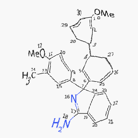 COC1=CC(C2C=C(C3(c4ccc(OC)c(C)c4)N=C(N)c4ccccc43)C=CC2)CC=C1